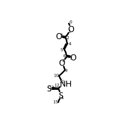 COC(=O)/C=C/C(=O)OCCNC(=S)SC